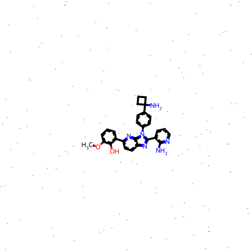 COc1cccc(-c2ccc3nc(-c4cccnc4N)n(-c4ccc(C5(N)CCC5)cc4)c3n2)c1O